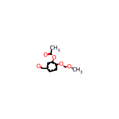 COCOc1ccc(C=O)cc1OC(C)=O